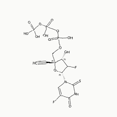 C#C[C@]1(COP(=O)(O)OP(=O)(O)OP(=O)(O)O)O[C@@H](n2cc(F)c(=O)[nH]c2=S)C(F)[C@H]1O